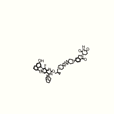 CCc1cccc2cc(O)cc(-c3ncc4c(N5CC6CCC(C5)N6)nc(OCC5(CN6CCC(F)(CN7CC8(CCN(c9ccc%10c(c9)CN(C9CCC(=O)NC9=O)C%10=O)CC8)C7)CC6)CC5)nc4c3F)c12